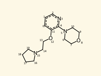 [c]1ccnc(N2CCOCC2)c1OCCN1CCCC1